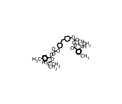 C=C[SiH](C=C)c1cc(C)ccc1C(=O)OOC(=O)OC1CCC(CC2CCC(OC(=O)OOC(=O)c3ccc(C)cc3[SiH](C=C)C=C)CC2)CC1